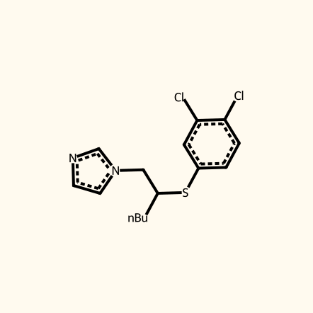 CCCCC(Cn1ccnc1)Sc1ccc(Cl)c(Cl)c1